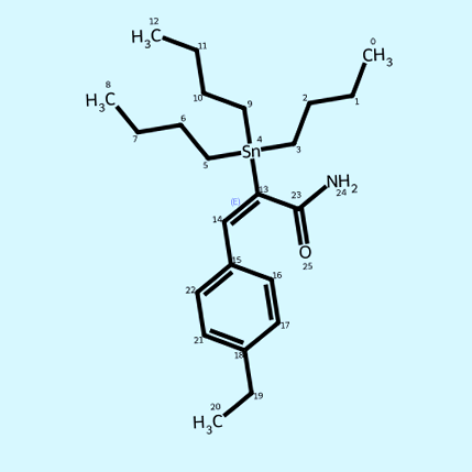 CCC[CH2][Sn]([CH2]CCC)([CH2]CCC)/[C](=C/c1ccc(CC)cc1)C(N)=O